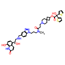 CN(CCCn1nnc2cc(CNC[C@H](O)c3ccc(O)c4[nH]c(=O)ccc34)ccc21)C(=O)CCN1CCC2(CC1)CC(OC(=O)C(O)(c1cccs1)c1cccs1)C2